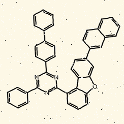 c1ccc(-c2ccc(-c3nc(-c4ccccc4)nc(-c4cccc5oc6cc(-c7ccc8ccccc8c7)ccc6c45)n3)cc2)cc1